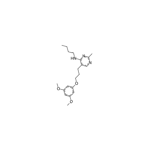 CCCCNc1nc(C)ncc1CCCOc1cc(OC)cc(OC)c1